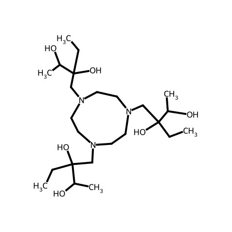 CCC(O)(CN1CCN(CC(O)(CC)C(C)O)CCN(CC(O)(CC)C(C)O)CC1)C(C)O